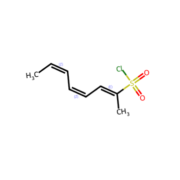 C\C=C/C=C\C=C(/C)S(=O)(=O)Cl